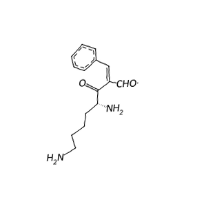 NCCCC[C@@H](N)C(=O)C([C]=O)=Cc1ccccc1